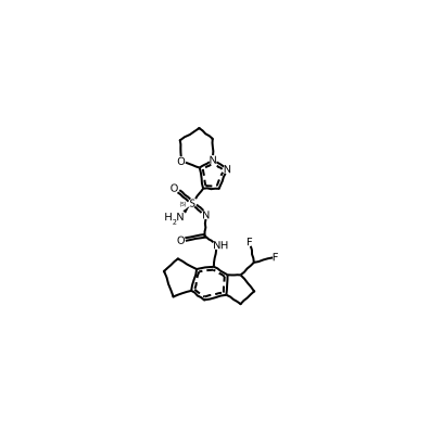 N[S@](=O)(=NC(=O)Nc1c2c(cc3c1C(C(F)F)CC3)CCC2)c1cnn2c1OCCC2